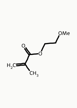 C=C(C)C(=O)OCCOC